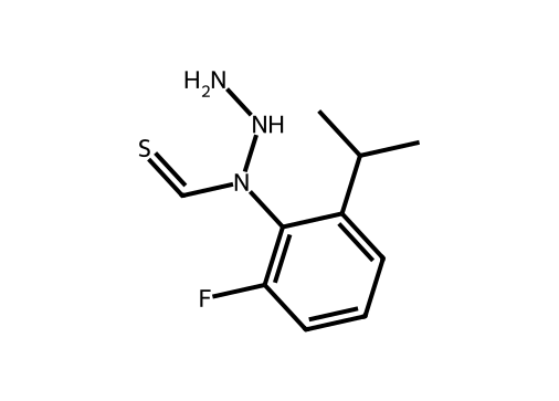 CC(C)c1cccc(F)c1N(C=S)NN